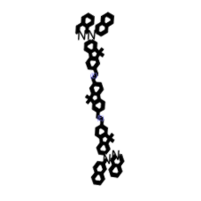 CC1(C)c2cc(/C=C/c3ccc4c(c3)C(C)(C)c3cc(N(c5ccc6ccccc6c5)c5nccc6ccccc56)ccc3-4)ccc2-c2ccc(/C=C/c3ccc4c(c3)C(C)(C)c3cc(N(c5ccc6ccccc6c5)c5nccc6ccccc56)ccc3-4)cc21